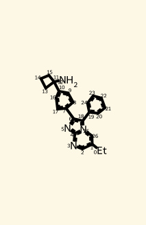 CCc1cnc2nc(-c3ccc(C4(N)CCC4)cc3)c(-c3ccccc3)n2c1